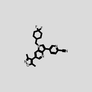 Cc1noc(C)c1-c1cnc2c(-c3ccc(C#N)nc3)cn(CC3CCC(F)(F)CC3)c2c1